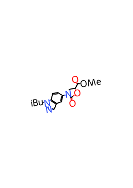 CCC(C)n1ncc2cc(N3CC(C(=O)OC)OC3=O)ccc21